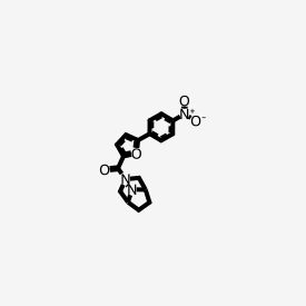 CN1C2CCC1CN(C(=O)c1ccc(-c3ccc([N+](=O)[O-])cc3)o1)C2